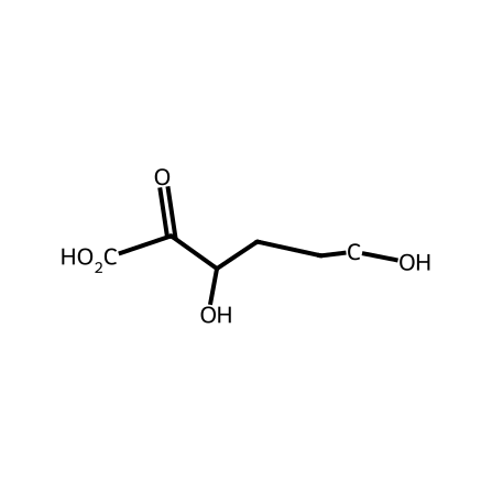 O=C(O)C(=O)C(O)CCCO